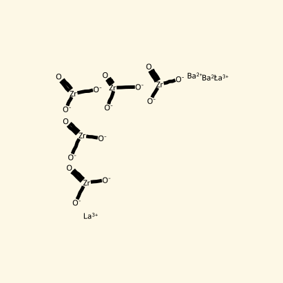 [Ba+2].[Ba+2].[La+3].[La+3].[O]=[Zr]([O-])[O-].[O]=[Zr]([O-])[O-].[O]=[Zr]([O-])[O-].[O]=[Zr]([O-])[O-].[O]=[Zr]([O-])[O-]